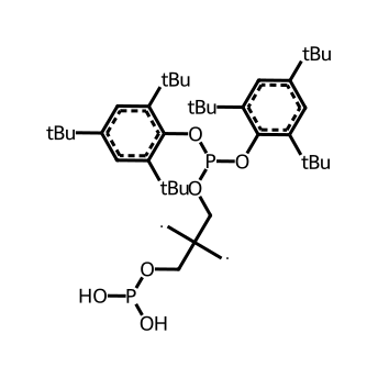 [CH2]C([CH2])(COP(O)O)COP(Oc1c(C(C)(C)C)cc(C(C)(C)C)cc1C(C)(C)C)Oc1c(C(C)(C)C)cc(C(C)(C)C)cc1C(C)(C)C